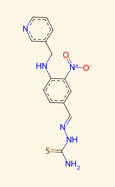 NC(=S)N/N=C/c1ccc(NCc2cccnc2)c([N+](=O)[O-])c1